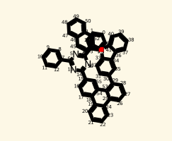 c1ccc(-c2nc(-c3ccccc3)nc(-c3ccc4c5ccccc5c5cccc(-c6ccc7c(c6)c6ccccc6n7-c6ccc7ccccc7c6)c5c4c3)n2)cc1